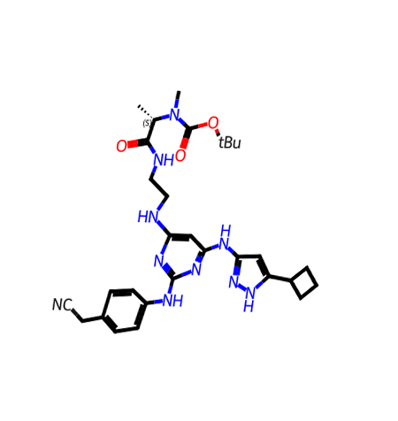 C[C@@H](C(=O)NCCNc1cc(Nc2cc(C3CCC3)[nH]n2)nc(Nc2ccc(CC#N)cc2)n1)N(C)C(=O)OC(C)(C)C